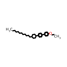 CCCCCCCCCCCCC1CCC(c2ccc(-c3ccc(OCCC)cc3)cc2)CC1